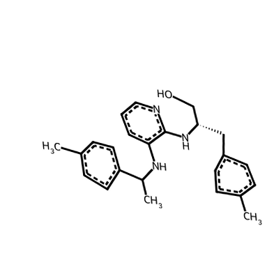 Cc1ccc(C[C@@H](CO)Nc2ncccc2NC(C)c2ccc(C)cc2)cc1